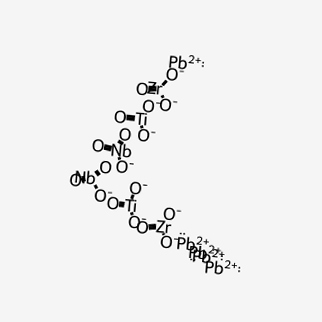 [O]=[Nb](=[O])[O-].[O]=[Nb](=[O])[O-].[O]=[Ti]([O-])[O-].[O]=[Ti]([O-])[O-].[O]=[Zr]([O-])[O-].[O]=[Zr]([O-])[O-].[Pb+2].[Pb+2].[Pb+2].[Pb+2].[Pb+2]